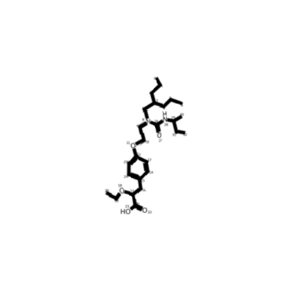 CCCC(CCC)CN(CCOc1ccc(CC(OCC)C(=O)O)cc1)C(=O)NC(C)CC